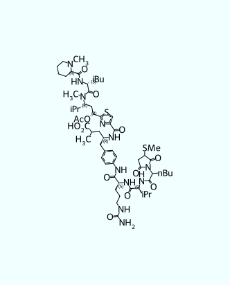 CCCCC(C(=O)N[C@H](C(=O)N[C@@H](CCCNC(N)=O)C(=O)Nc1ccc(C[C@@H](CC(C)C(=O)O)NC(=O)c2csc([C@@H](C[C@H](C(C)C)N(C)C(=O)C(NC(=O)[C@H]3CCCCN3C)[C@@H](C)CC)OC(C)=O)n2)cc1)C(C)C)N1C(=O)CC(SC)C1=O